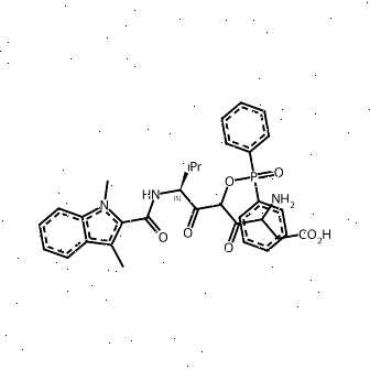 Cc1c(C(=O)N[C@H](C(=O)C(OP(=O)(c2ccccc2)c2ccccc2)C(=O)C(N)CC(=O)O)C(C)C)n(C)c2ccccc12